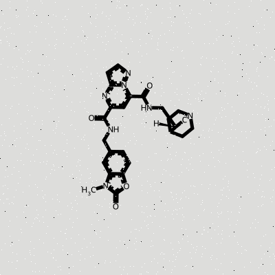 Cn1c(=O)oc2ccc(CNC(=O)c3cc(C(=O)NC[C@@H]4CN5CCC4CC5)n4nccc4n3)cc21